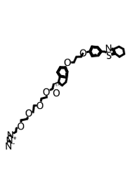 [N-]=[N+]=NCCOCCOCCOCCOC(=O)C[C@@H]1CCc2cc(OCCCOc3ccc(-c4nc5c(s4)CCCC5)cc3)ccc21